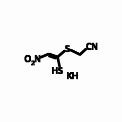 N#CCS/C(S)=C/[N+](=O)[O-].[KH]